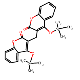 C[Si](C)(C)Oc1c(Cc2c(O[Si](C)(C)C)c3ccccc3oc2=O)c(=O)oc2ccccc12